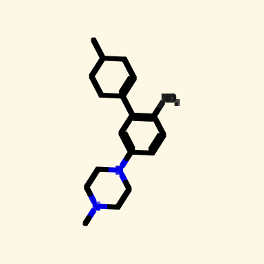 CC1CC=C(c2cc(N3CCN(C)CC3)ccc2[N+](=O)[O-])CC1